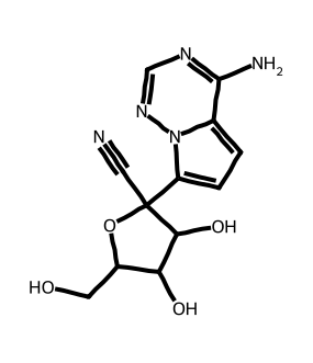 N#CC1(c2ccc3c(N)ncnn23)OC(CO)C(O)C1O